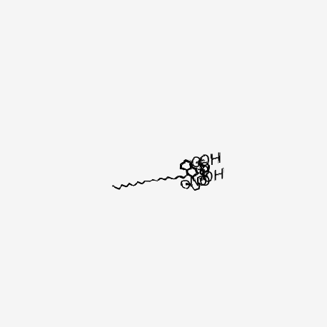 CCCCCCCCCCCCCCCCC=Cc1c(N2C(=O)CCC2=O)c(S(=O)(=O)O)c(S(=O)(=O)O)c2ccccc12